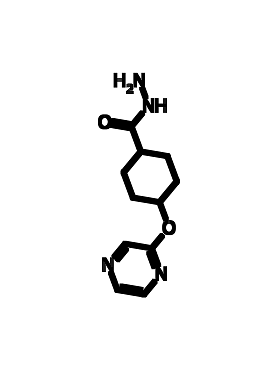 NNC(=O)C1CCC(Oc2cnccn2)CC1